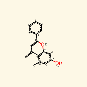 C=C1C=C(c2ccccc2)Oc2cc(O)cc(C)c21